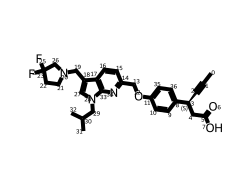 CC#C[C@@H](CC(=O)O)c1ccc(OCc2ccc3c(CN4CCC(F)(F)C4)cn(CC(C)C)c3n2)cc1